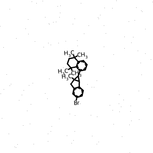 CC1(C)CCC(C)(C)c2c(C3C4c5ccc(Br)cc5CC43C)cccc21